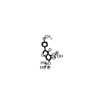 COc1ccc(-c2coc3cc(OP(=O)(O)O)cc(OP(=O)(O)O)c3c2=O)cc1